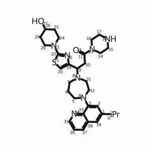 CC(C)c1cc(N2CCCN(C(CC(=O)N3CCNCC3)c3csc(N4CCC(O)CC4)n3)CC2)c2ncccc2c1